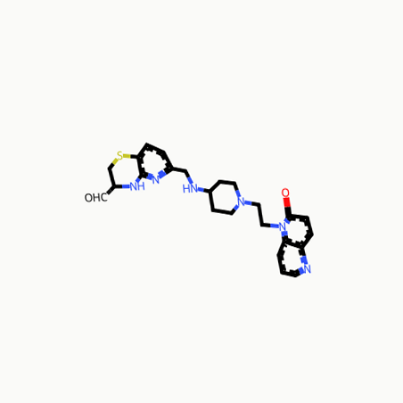 O=CC1CSc2ccc(CNC3CCN(CCn4c(=O)ccc5ncccc54)CC3)nc2N1